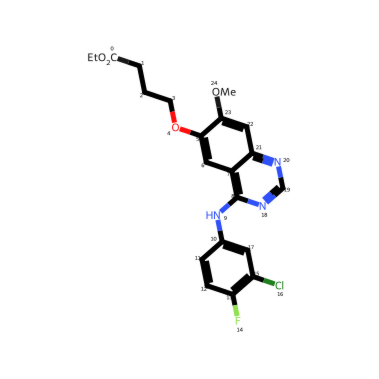 CCOC(=O)CCCOc1cc2c(Nc3ccc(F)c(Cl)c3)ncnc2cc1OC